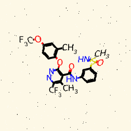 Cc1cc(OC(F)(F)F)ccc1Oc1nnc(C(F)(F)F)c(C)c1C(=O)Nc1cccc(S(C)(=N)=O)c1